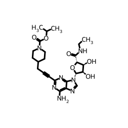 CCNC(=O)[C@H]1O[C@@H](n2cnc3c(N)nc(C#CCC4CCN(C(=O)OC(C)C)CC4)nc32)[C@H](O)[C@@H]1O